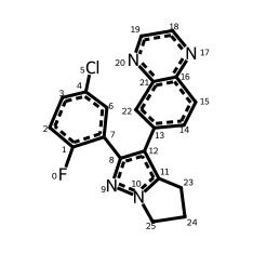 Fc1ccc(Cl)cc1-c1nn2c(c1-c1ccc3nccnc3c1)CCC2